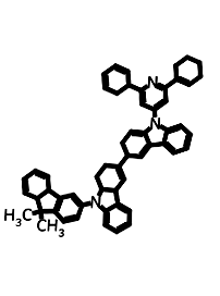 CC1(C)c2ccc(N3c4ccccc4C4C=C(C5C=c6c(n(-c7cc(C8=CCCCC8)nc(C8C=CC=CC8)c7)c7ccccc67)=CC5)CCC43)cc2C2C=CC=CC21